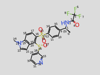 C[C@H](NC(=O)C(F)(F)F)c1ccc(S(=O)(=O)c2ccc3c(ccn3C)c2[S+]([O-])c2cccnc2)cc1